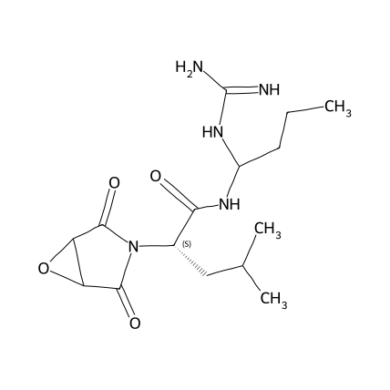 CCCC(NC(=N)N)NC(=O)[C@H](CC(C)C)N1C(=O)C2OC2C1=O